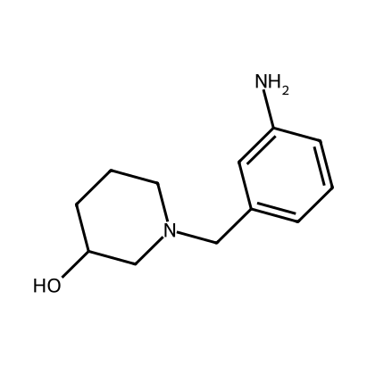 Nc1cccc(CN2CCCC(O)C2)c1